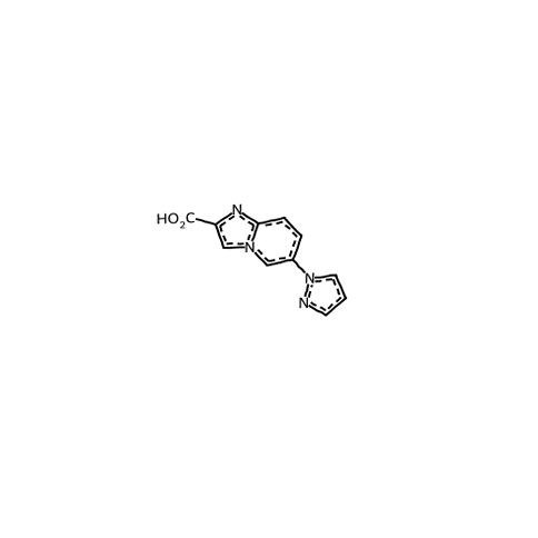 O=C(O)c1cn2cc(-n3cccn3)ccc2n1